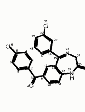 O=C(c1ccc(Cl)cc1)c1ccc2c(c1)C(c1cccc(Cl)c1)=NCC(=S)N2